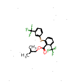 CC(C)COC(=O)c1c(Sc2cccc(C(F)(F)F)c2)cccc1C(F)(F)F